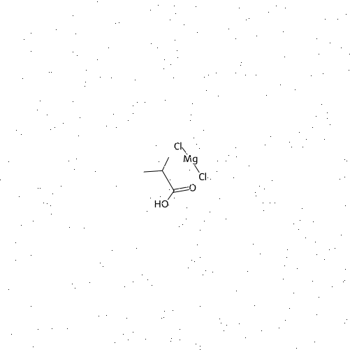 CC(C)C(=O)O.[Cl][Mg][Cl]